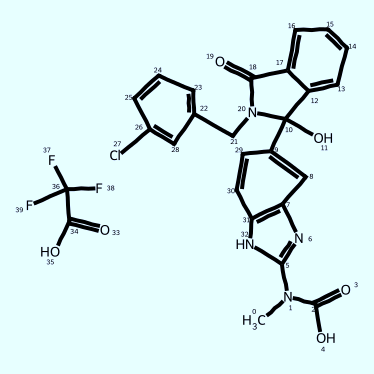 CN(C(=O)O)c1nc2cc(C3(O)c4ccccc4C(=O)N3Cc3cccc(Cl)c3)ccc2[nH]1.O=C(O)C(F)(F)F